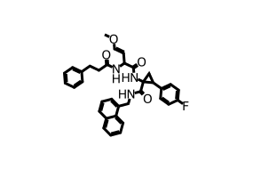 CO/C=C/C(NC(=O)CCc1ccccc1)C(=O)NC1(C(=O)NCc2cccc3ccccc23)CC1c1ccc(F)cc1